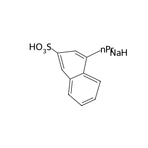 CCCc1cc(S(=O)(=O)O)cc2ccccc12.[NaH]